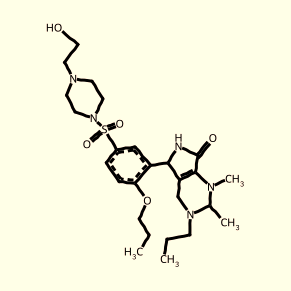 CCCOc1ccc(S(=O)(=O)N2CCN(CCO)CC2)cc1C1NC(=O)C2=C1CN(CCC)C(C)N2C